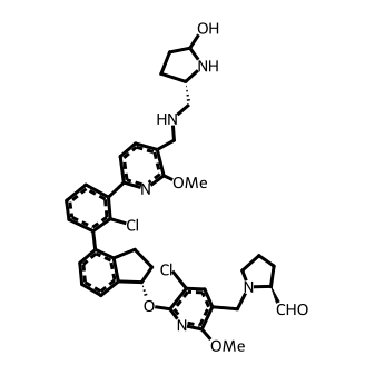 COc1nc(-c2cccc(-c3cccc4c3CC[C@@H]4Oc3nc(OC)c(CN4CCC[C@H]4C=O)cc3Cl)c2Cl)ccc1CNC[C@@H]1CCC(O)N1